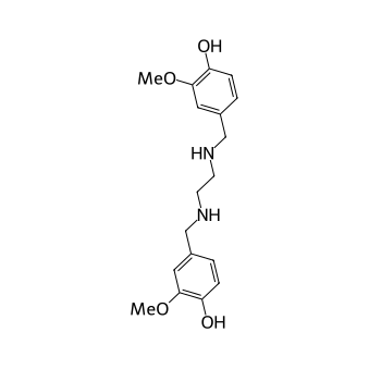 COc1cc(CNCCNCc2ccc(O)c(OC)c2)ccc1O